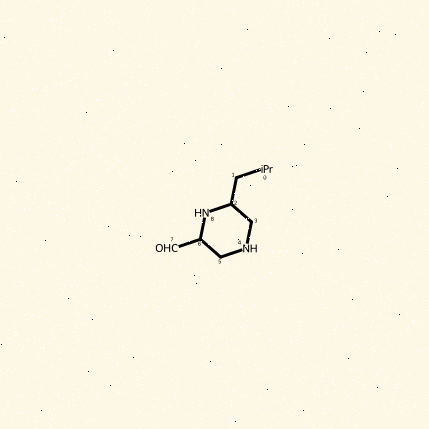 CC(C)CC1CNCC(C=O)N1